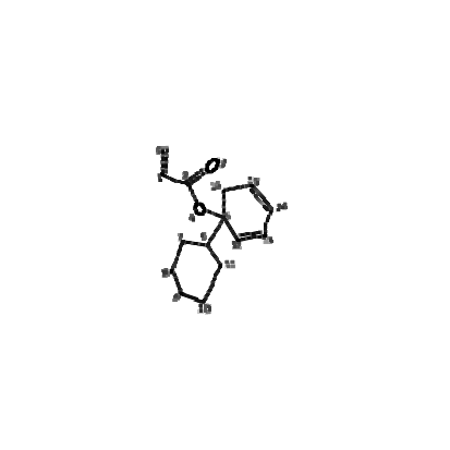 C=CC(=O)OC1(C2CCCCC2)C=CC=CC1